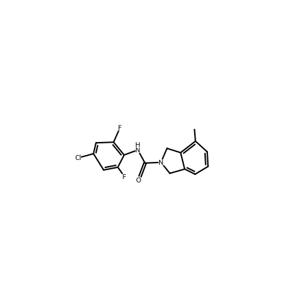 Cc1cccc2c1CN(C(=O)Nc1c(F)cc(Cl)cc1F)C2